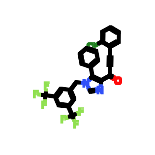 O=C(C#Cc1ccccc1Cl)c1ncn(Cc2cc(C(F)(F)F)cc(C(F)(F)F)c2)c1-c1ccccc1